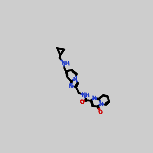 O=C(NCc1cn2ccc(CNCC3CC3)cc2n1)c1cc(=O)n2ccccc2n1